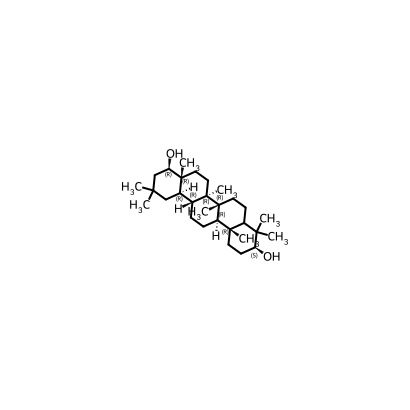 CC1(C)C[C@@H](O)[C@]2(C)CC[C@]3(C)[C@H](CC[C@@H]4[C@@]5(C)CC[C@H](O)C(C)(C)C5CC[C@]43C)[C@H]2C1